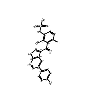 CCCS(=O)(=O)Nc1ccc(F)c(C(=O)c2c[nH]c3ncc(-c4ccc(Cl)cc4)cc23)c1Cl